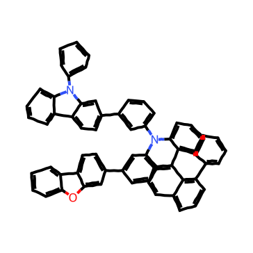 c1ccc(-c2cccc3cccc(-c4ccccc4N(c4cccc(-c5ccc6c(c5)oc5ccccc56)c4)c4cccc(-c5ccc6c7ccccc7n(-c7ccccc7)c6c5)c4)c23)cc1